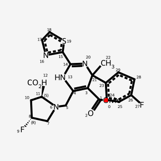 COC(=O)C1=C(CN2C[C@H](F)C[C@H]2C(=O)O)NC(c2nccs2)=NC1(C)c1ccc(F)cc1